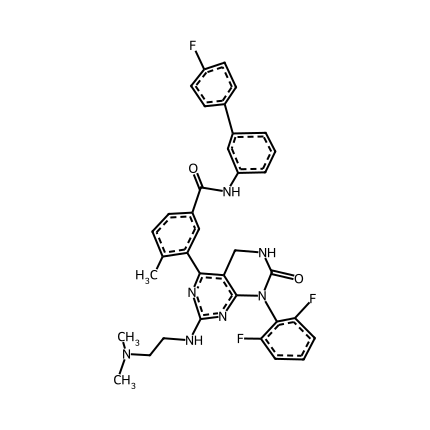 Cc1ccc(C(=O)Nc2cccc(-c3ccc(F)cc3)c2)cc1-c1nc(NCCN(C)C)nc2c1CNC(=O)N2c1c(F)cccc1F